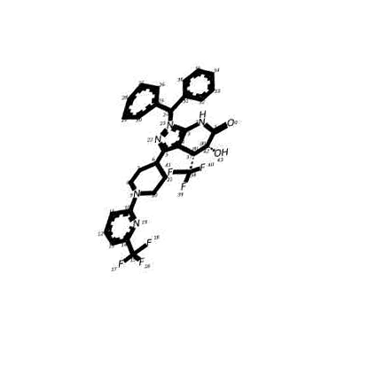 O=C1Nc2c(c(C3CCN(c4cccc(C(F)(F)F)n4)CC3)nn2C(c2ccccc2)c2ccccc2)[C@@H](C(F)(F)F)[C@H]1O